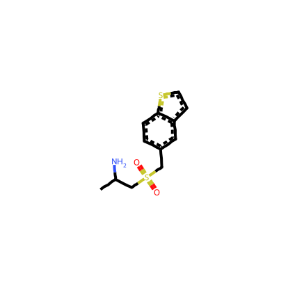 CC(N)CS(=O)(=O)Cc1ccc2sccc2c1